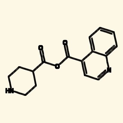 O=C(OC(=O)C1CCNCC1)c1ccnc2ccccc12